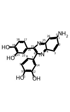 Nc1ccc2nc(-c3ccc(O)c(O)c3)c(-c3ccc(O)c(O)c3)nc2c1